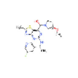 CO[C@@H]1CCN(C(O)c2nc(NC(C)c3cncc(F)c3)nc3nc(C)sc23)C1